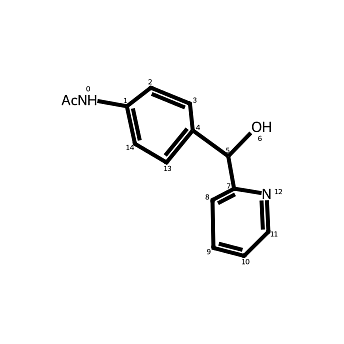 CC(=O)Nc1ccc(C(O)c2ccccn2)cc1